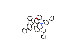 c1ccc(-c2ccc(N(c3ccc(-c4ccccc4)cc3-c3ccccc3)c3cccc4c3-c3ccccc3C43c4ccccc4-c4cc(-c5ccccc5)ccc43)cc2)cc1